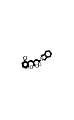 O=C(O)C(=Cc1ccccc1Cl)CC(=O)N1CC2CCCCC2C1